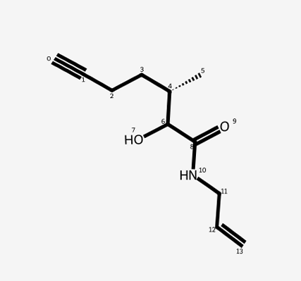 C#CCC[C@H](C)C(O)C(=O)NCC=C